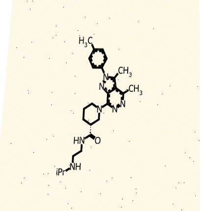 Cc1ccc(-n2nc3c(N4CCC[C@@H](C(=O)NCCNC(C)C)C4)nnc(C)c3c2C)cc1